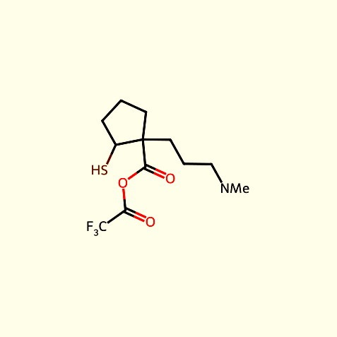 CNCCCC1(C(=O)OC(=O)C(F)(F)F)CCCC1S